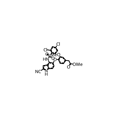 COC(=O)Cc1ccc(Oc2ccc3[nH]c(C#N)cc3c2NS(=O)(=O)c2ccc(Cl)cc2Cl)c(OC)c1